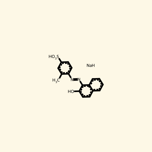 Cc1cc(S(=O)(=O)O)ccc1/N=N/c1c(O)ccc2ccccc12.[NaH]